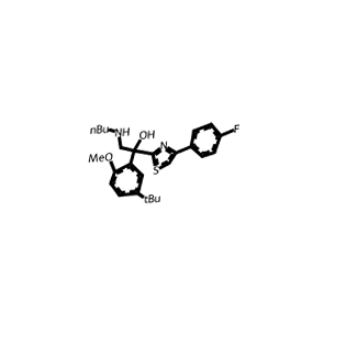 CCCCNCC(O)(c1nc(-c2ccc(F)cc2)cs1)c1cc(C(C)(C)C)ccc1OC